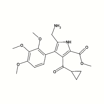 COC(=O)c1[nH]c(CN)c(-c2ccc(OC)c(OC)c2OC)c1C(=O)C1CC1